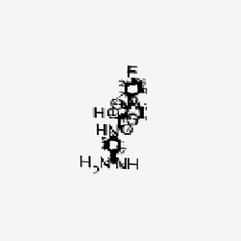 N=C(N)c1ccc(NC(=O)[C@H](O)[C@H]2OCCN(c3ccc(F)cc3)C2=O)cc1